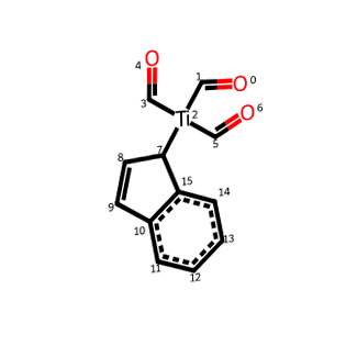 O=[CH][Ti]([CH]=O)([CH]=O)[CH]1C=Cc2ccccc21